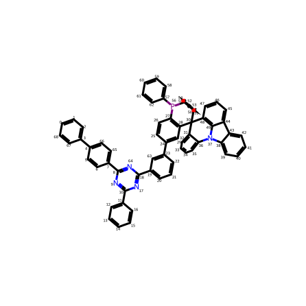 c1ccc(-c2ccc(-c3nc(-c4ccccc4)nc(-c4cccc(-c5ccc6c(c5)C5(c7ccccc7-n7c8ccccc8c8cccc5c87)c5ccccc5P6c5ccccc5)c4)n3)cc2)cc1